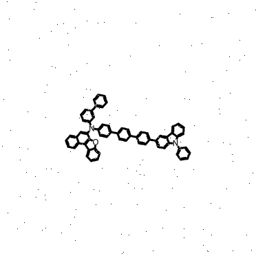 c1ccc(-c2cccc(N(c3ccc(-c4ccc(-c5ccc(-c6ccc7c(c6)c6ccccc6n7-c6ccccc6)cc5)cc4)cc3)c3cc4ccccc4c4c3oc3ccccc34)c2)cc1